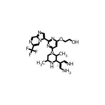 CC1CN(c2cc(OCCO)nc(-c3cnc4cnc(C(F)(F)F)cn34)n2)C(C)C(/C(C=N)=C/N)N1